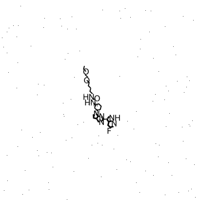 CCOCCOCCCCCNC(=O)N[C@@H]1CCC[C@H](n2ccc3cnc(-c4c[nH]c5ncc(F)cc45)nc32)C1